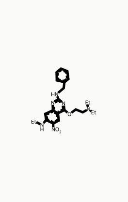 CCNc1cc2nc(NCc3ccccc3)nc(OCCN(CC)CC)c2cc1[N+](=O)[O-]